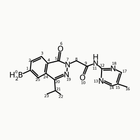 Bc1ccc2c(=O)n(CC(=O)Nc3ncc(C)cn3)nc(C(C)C)c2c1